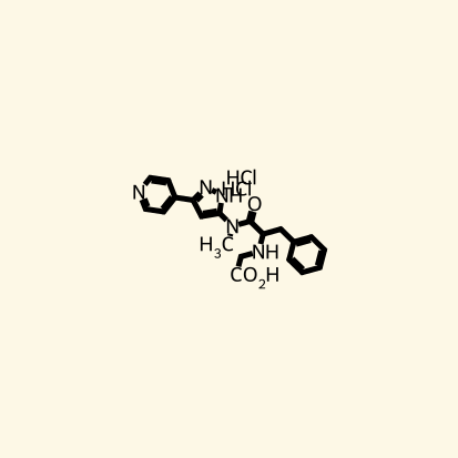 CN(C(=O)C(Cc1ccccc1)NCC(=O)O)c1cc(-c2ccncc2)n[nH]1.Cl.Cl